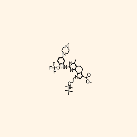 COC(=O)c1cn(CCO[Si](C)(C)C(C)(C)C)c2c1CCc1c(C)nc(Nc3cc(N4CCN(C)CC4)ccc3OC(F)(F)F)nc1-2